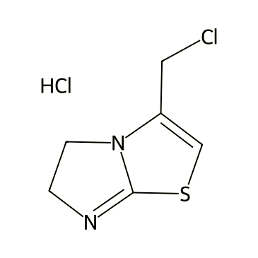 Cl.ClCC1=CSC2=NCCN12